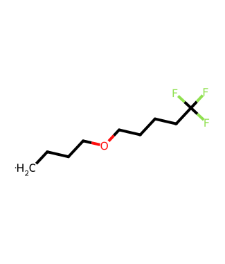 [CH2]CCCOCCCCC(F)(F)F